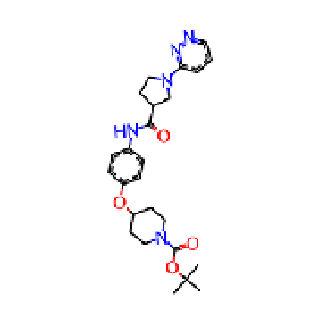 CC(C)(C)OC(=O)N1CCC(Oc2ccc(NC(=O)[C@H]3CCN(c4cccnn4)C3)cc2)CC1